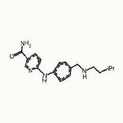 CC(C)CCNCc1ccc(Nc2ccc(C(N)=O)cn2)cc1